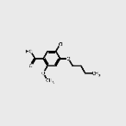 CCCCOc1cc(OC)c(C(=O)O)cc1Cl